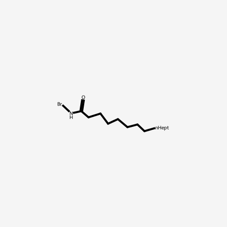 CCCCCCCCCCCCCCC(=O)NBr